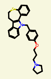 c1ccc2c(c1)SCCc1c-2n(Cc2ccc(OCCCN3CCCC3)cc2)c2ccccc12